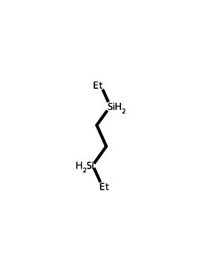 CC[SiH2]CC[SiH2]CC